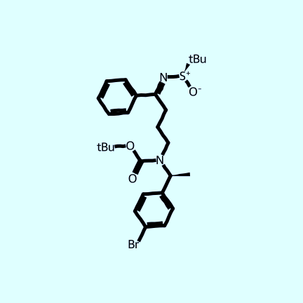 C[C@@H](c1ccc(Br)cc1)N(CCC/C(=N\[S@+]([O-])C(C)(C)C)c1ccccc1)C(=O)OC(C)(C)C